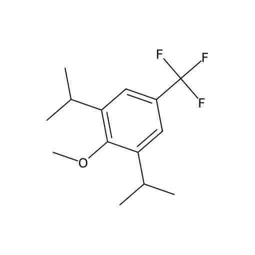 COc1c(C(C)C)cc(C(F)(F)F)cc1C(C)C